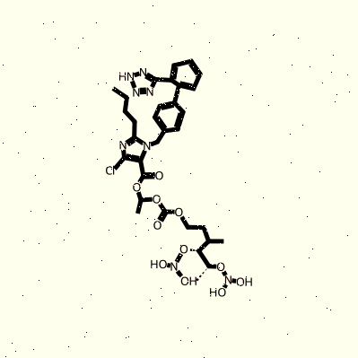 CCCCc1nc(Cl)c(C(=O)OC(C)OC(=O)OCCC(C)[C@@H](ON(O)O)[C@@H](C)ON(O)O)n1Cc1ccc(-c2ccccc2-c2nn[nH]n2)cc1